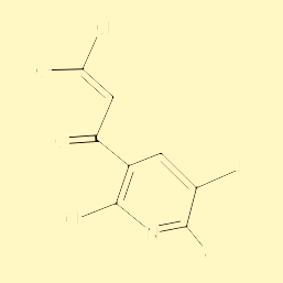 O=C(C=C(Cl)Cl)c1cc(F)c(Cl)nc1Cl